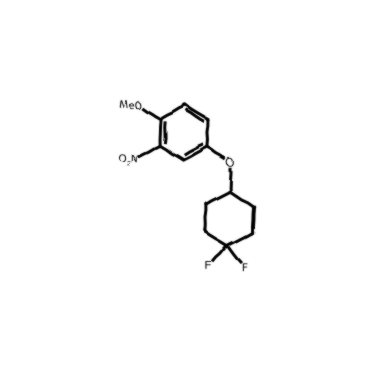 COc1ccc(OC2CCC(F)(F)CC2)cc1[N+](=O)[O-]